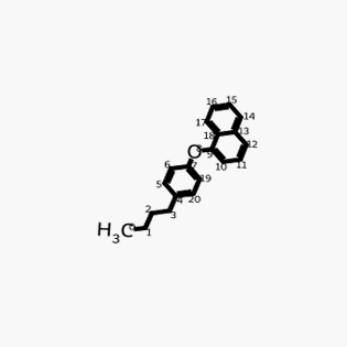 CCCCc1ccc(Oc2cccc3ccccc23)cc1